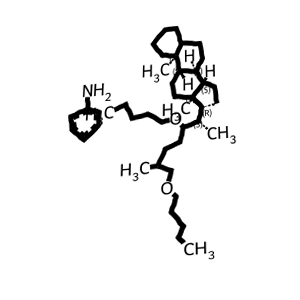 CCCCCOCC(C)CCC(OCCCCC)[C@@H](C)[C@H]1CC[C@H]2[C@@H]3CCC4CCCC[C@]4(C)[C@H]3CC[C@]12C.Nc1ccccc1